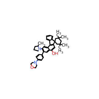 CC1CCCN1c1cc2c3c(cc(O)c2cc1-c1ccc(N2CCOCC2)cc1)C1(CC(C)(C)CC(C)(C)C1)c1ccccc1-3